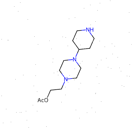 CC(=O)OCCN1CCN(C2CCNCC2)CC1